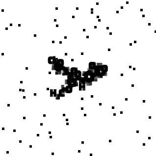 CCO[C@@H]1C[C@H](C(=O)Nc2ccc(N3CCOCC3=O)cc2)N(C(=O)/C=C/c2ccc(Cl)o2)C1